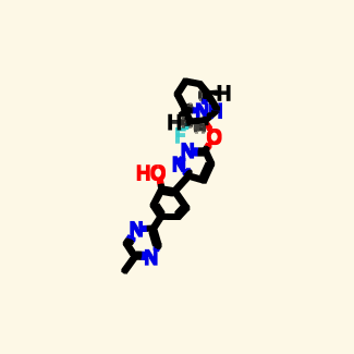 Cc1cnc(-c2ccc(-c3ccc(O[C@@H]4C[C@H]5CCC[C@H](N5)[C@@H]4F)nn3)c(O)c2)cn1